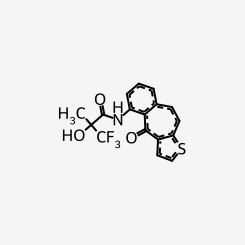 CC(O)(C(=O)Nc1cccc2ccc3sccc3c(=O)c12)C(F)(F)F